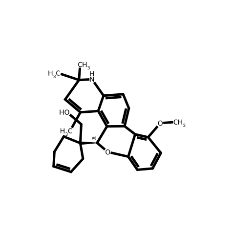 COc1cccc2c1-c1ccc3c(c1[C@H](C1(CO)CC=CCC1)O2)C(C)=CC(C)(C)N3